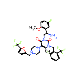 COc1ccc(F)cc1C(N)Cn1c(=O)c(N2CCN(Cc3ccc(C(F)(F)F)o3)CC2)c(C)n(Cc2c(F)cccc2C(F)(F)F)c1=O